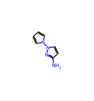 Nc1ccn(-n2cccc2)n1